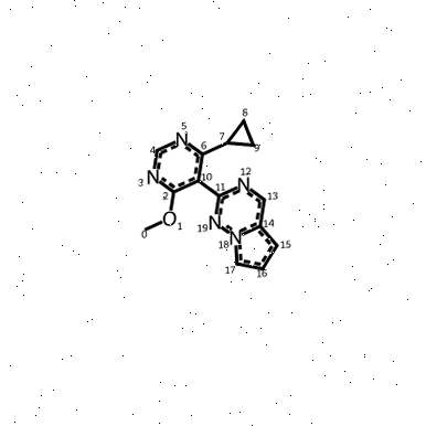 COc1ncnc(C2CC2)c1-c1ncc2cccn2n1